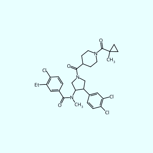 CCc1cc(C(=O)N(C)C2CN(C(=O)C3CCN(C(=O)C4(C)CC4)CC3)CC2c2ccc(Cl)c(Cl)c2)ccc1Cl